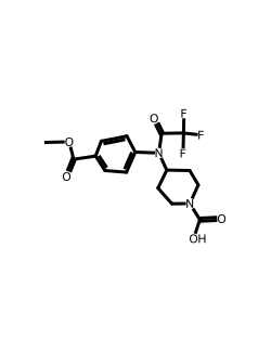 COC(=O)c1ccc(N(C(=O)C(F)(F)F)C2CCN(C(=O)O)CC2)cc1